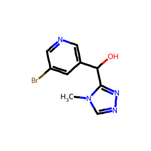 Cn1cnnc1C(O)c1cncc(Br)c1